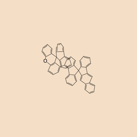 c1ccc2c(c1)Oc1cccc(-c3cccc4c3-c3ccccc3C43c4ccccc4-c4cc5ccccc5cc43)c1C21c2ccccc2-c2ccccc21